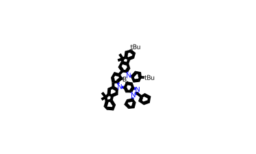 CC(C)(C)c1ccc(N2B3c4cc5nc(-c6ccccc6)n(-c6ccccc6)c5cc4-n4c5cc6c(cc5c5ccc(c3c54)-c3cc4c(cc32)-c2ccc(C(C)(C)C)cc2C4(C)C)C(C)(C)c2ccccc2-6)cc1